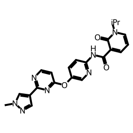 CC(C)n1cccc(C(=O)Nc2ccc(Oc3ccnc(-c4cnn(C)c4)n3)cn2)c1=O